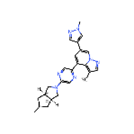 CC1C[C@@H]2CN(c3cnc(-c4cc(-c5cnn(C)c5)cn5ncc(C#N)c45)cn3)C[C@@H]2C1